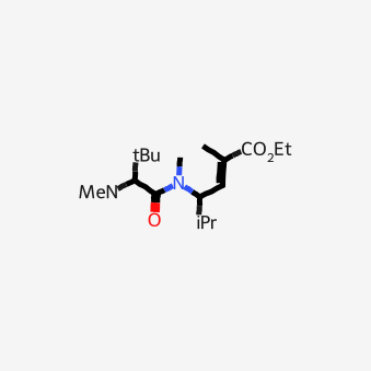 CCOC(=O)/C(C)=C/C(C(C)C)N(C)C(=O)C(NC)C(C)(C)C